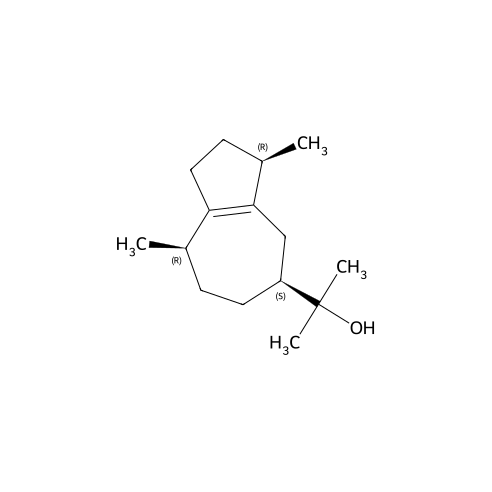 C[C@@H]1CC[C@H](C(C)(C)O)CC2=C1CC[C@H]2C